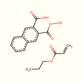 C=CC(=O)OCCC.O=C(O)c1cc2ccccc2cc1C(=O)OO